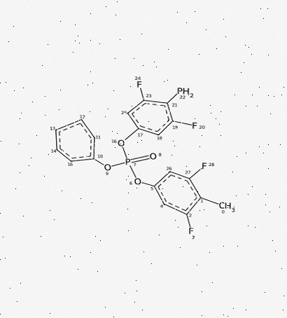 Cc1c(F)cc(OP(=O)(Oc2ccccc2)Oc2cc(F)c(P)c(F)c2)cc1F